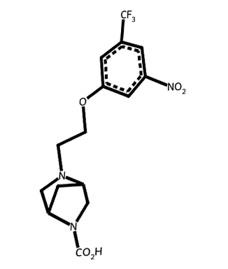 O=C(O)N1CC2CC1CN2CCOc1cc([N+](=O)[O-])cc(C(F)(F)F)c1